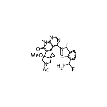 COC1(c2cc3c(N[C@H](C)c4cccc(C(F)P)c4F)ncnc3n(C)c2=O)CN(C(C)=O)CC12CC2